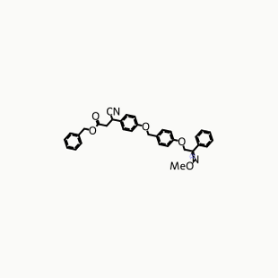 CO/N=C(\COc1ccc(COc2ccc(C(C#N)CC(=O)OCc3ccccc3)cc2)cc1)c1ccccc1